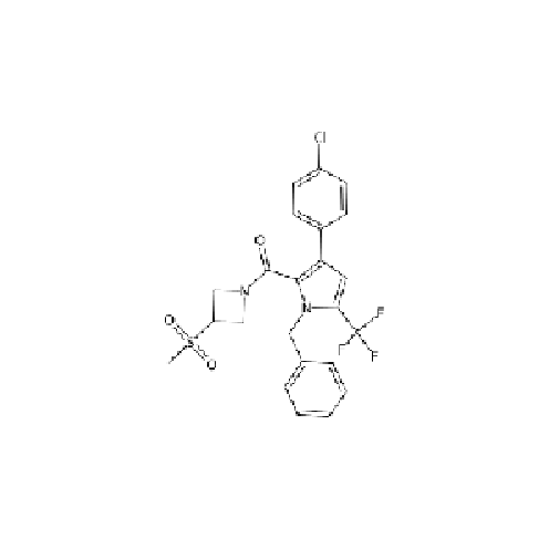 CS(=O)(=O)C1CN(C(=O)c2c(-c3ccc(Cl)cc3)cc(C(F)(F)F)n2Cc2ccccc2)C1